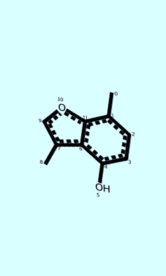 Cc1ccc(O)c2c(C)coc12